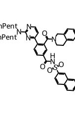 CCCCCN(CCCCC)c1nccc(-c2ccc(C(=O)NS(=O)(=O)c3ccc4ccccc4c3)cc2C(=O)N2CCc3ccccc3C2)n1